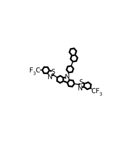 FC(F)(F)c1ccc2sc(-c3ccc4c5ccc(-c6nc7cc(C(F)(F)F)ccc7s6)cc5n(-c5ccc(-c6ccc7ccccc7c6)cc5)c4c3)nc2c1